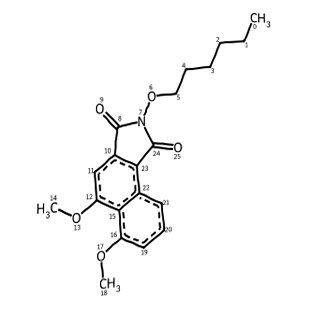 CCCCCCON1C(=O)c2cc(OC)c3c(OC)cccc3c2C1=O